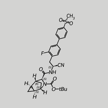 CC(C)(C)OC(=O)N1[C@H](C(=O)N[C@H](C#N)Cc2ccc(-c3ccc(S(C)(=O)=O)cc3)cc2F)[C@@H]2C[C@H]1[C@H]1C[C@@H]21